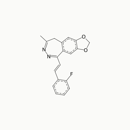 CC1=NN=C(C=Cc2ccccc2F)c2cc3c(cc2C1)OCO3